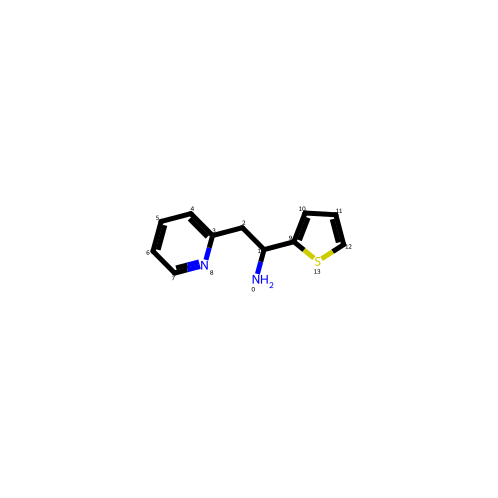 NC(Cc1ccccn1)c1cccs1